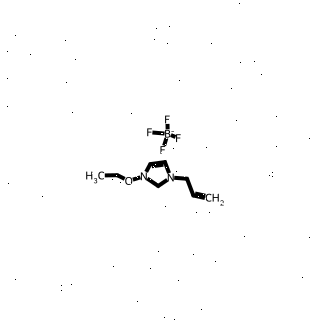 C=CCN1C=CN(OCC)C1.F[B-](F)(F)F